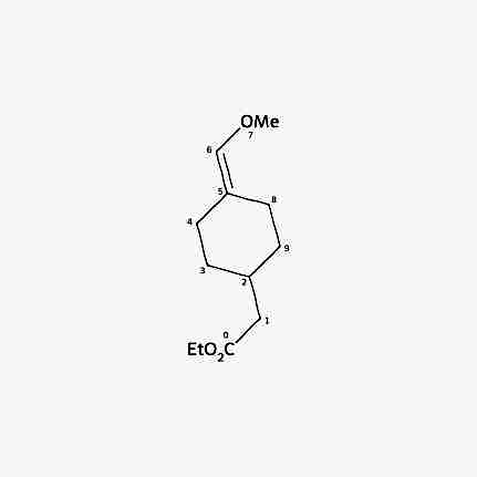 CCOC(=O)CC1CCC(=COC)CC1